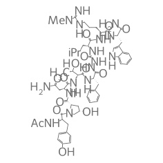 CNC(=N)NCCC[C@H](NC(=O)[C@H](CC(C)C)NC(=O)NNC(=O)[C@H](Cc1ccccc1)NC(=O)[C@@H](NC(=O)[C@H](CC(N)=O)NC(=O)[C@@H]1C[C@H](O)CN1C(=O)[C@@H](Cc1ccc(O)cc1)NC(C)=O)[C@@H](C)O)C(=O)N[C@@H](Cc1c[nH]c2ccccc12)C(N)=O